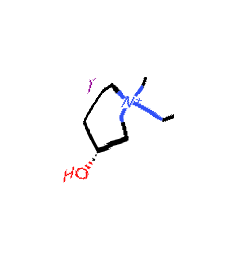 C[N+]1(C)CC[C@@H](O)C1.[I-]